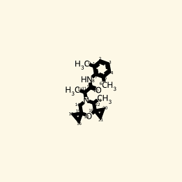 Cc1cccc(C)c1NC(=O)C(C)N1CC2(CC2)OC2(CC2)C1C